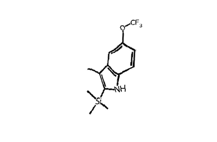 Cc1c([Si](C)(C)C)[nH]c2ccc(OC(F)(F)F)cc12